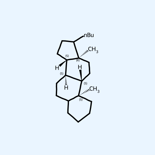 CCCCC1CC[C@H]2[C@@H]3CCC4CCCC[C@]4(C)[C@H]3CC[C@]12C